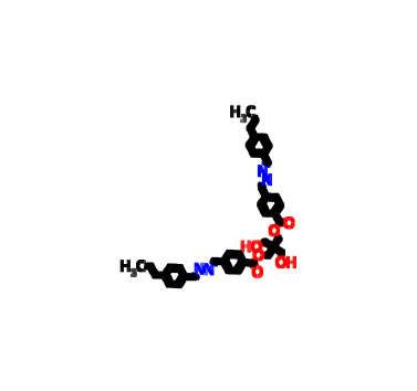 CCCc1ccc(/C=N/N=C/c2ccc(C(=O)OCC(CO)(CO)COC(=O)c3ccc(/C=N/N=C/c4ccc(CCC)cc4)cc3)cc2)cc1